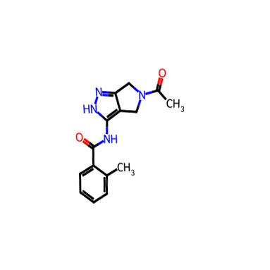 CC(=O)N1Cc2n[nH]c(NC(=O)c3ccccc3C)c2C1